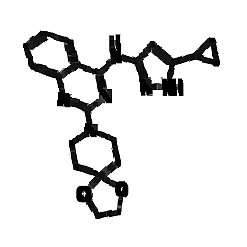 c1ccc2c(Nc3cc(C4CC4)[nH]n3)nc(N3CCC4(CC3)OCCO4)nc2c1